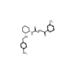 O=C(CNC(=O)c1cccc(C(F)(F)F)c1)N[C@H]1CCCC[C@H]1NCc1ccc([N+](=O)[O-])cc1